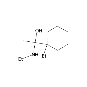 CCNC(C)(O)C1(CC)CCCCC1